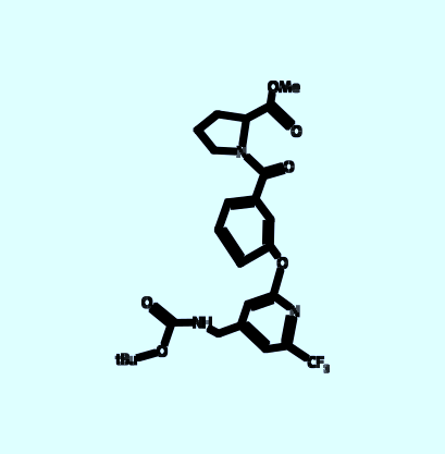 COC(=O)C1CCCN1C(=O)c1cccc(Oc2cc(CNC(=O)OC(C)(C)C)cc(C(F)(F)F)n2)c1